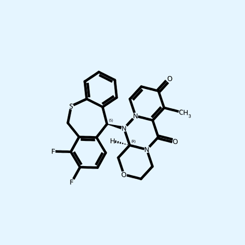 Cc1c2n(ccc1=O)N([C@@H]1c3ccccc3SCc3c1ccc(F)c3F)[C@@H]1COCCN1C2=O